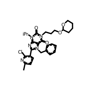 Cc1ccc(-c2nc3c(c(=O)n(CCCOC4CCCCO4)c(=O)n3C(C)C)n2Cc2ccccc2)c(Cl)n1